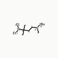 CCN(CC)C(C)(C)CCN(C)C(C)(C)C